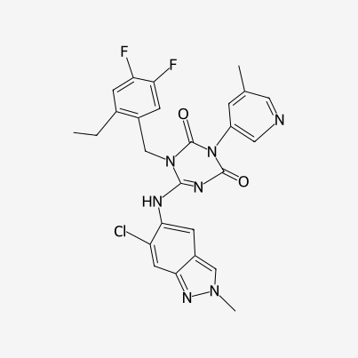 CCc1cc(F)c(F)cc1Cn1c(Nc2cc3cn(C)nc3cc2Cl)nc(=O)n(-c2cncc(C)c2)c1=O